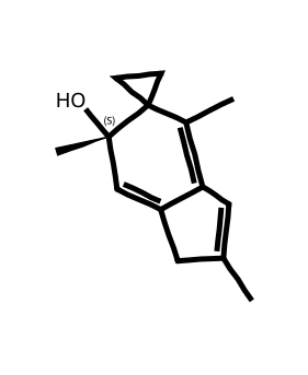 CC1=CC2=C(C)C3(CC3)[C@@](C)(O)C=C2C1